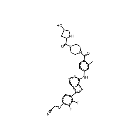 Cc1cc(Nc2nccn3c(-c4ccc(OCC#N)c(F)c4F)cnc23)ccc1C(=O)N1CCN(C(=O)C2CC(O)CN2)CC1